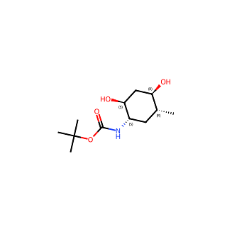 C[C@@H]1C[C@H](NC(=O)OC(C)(C)C)[C@@H](O)C[C@H]1O